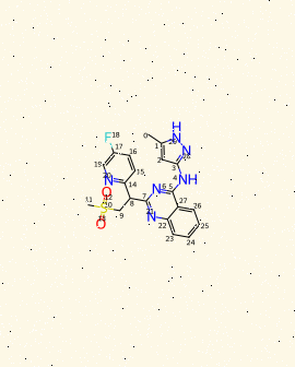 Cc1cc(Nc2nc(C(CS(C)(=O)=O)c3ccc(F)cn3)nc3ccccc23)n[nH]1